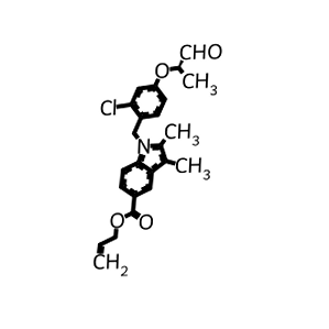 C=CCOC(=O)c1ccc2c(c1)c(C)c(C)n2Cc1ccc(O[C@H](C)C=O)cc1Cl